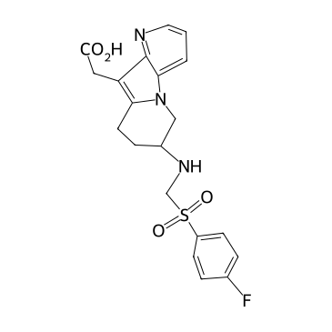 O=C(O)Cc1c2n(c3cccnc13)CC(NCS(=O)(=O)c1ccc(F)cc1)CC2